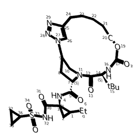 CCC1C[C@]1(NC(=O)[C@@H]1CC2CN1C(=O)[C@H](C(C)(C)C)NC(=O)OCCCCCc1cn2nn1)C(=O)NS(=O)(=O)C1CC1